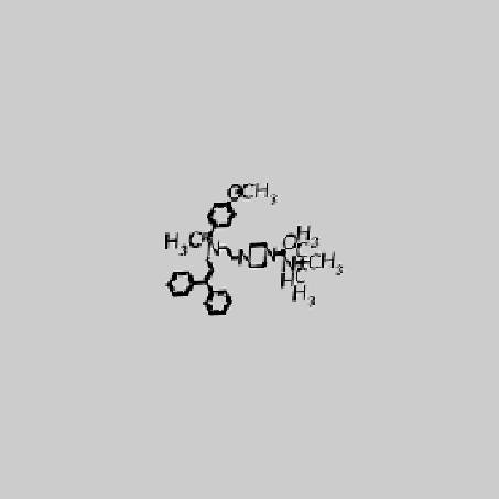 COc1ccc([C@@H](C)N(CC=C(c2ccccc2)c2ccccc2)CCN2CCN(C(=O)NC(C)(C)C)CC2)cc1